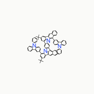 CC(C)(C)c1cc(-c2ccc3c(c2)c2ccccc2n3-c2ccccc2)c2c(c1)c1cc3ccccc3c3c4cc5c(cc4n2c13)c1cc(C(C)(C)C)cc2c3cc4ccccc4c(-c4ccc6c(c4)c4ccccc4n6-c4ccccc4)c3n5c12